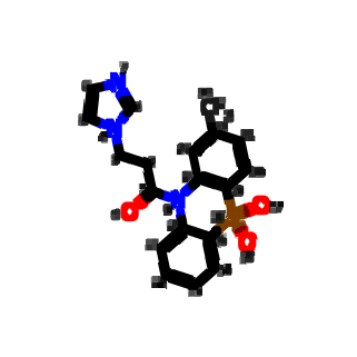 O=C(CCn1ccnc1)N1c2ccccc2S(=O)(=O)c2ccc(C(F)(F)F)cc21